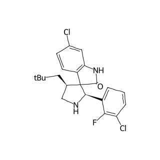 CC(C)(C)C[C@@H]1CN[C@H](c2cccc(Cl)c2F)C12C(=O)Nc1cc(Cl)ccc12